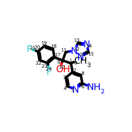 CC(c1ccnc(N)c1)C(O)(Cn1cncn1)c1ccc(F)cc1F